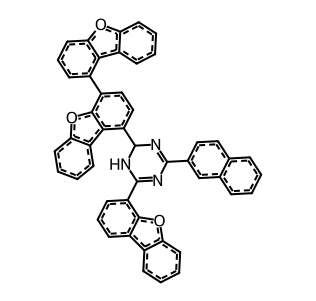 c1ccc2cc(C3=NC(c4ccc(-c5cccc6oc7ccccc7c56)c5oc6ccccc6c45)NC(c4cccc5c4oc4ccccc45)=N3)ccc2c1